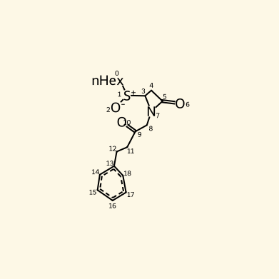 CCCCCC[S+]([O-])C1CC(=O)N1CC(=O)CCc1ccccc1